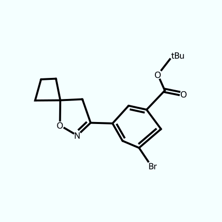 CC(C)(C)OC(=O)c1cc(Br)cc(C2=NOC3(CCC3)C2)c1